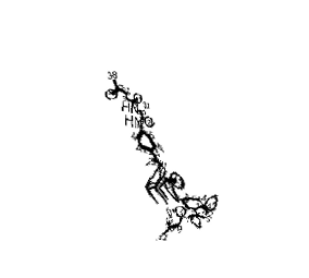 CO[C@H]1[C@H](C2(C)O[C@@H]2CC=C(C)C)[C@]2(CC[C@H]1NC(=O)NCCc1ccc(NC(=O)[C@@H](C)NC(=O)CCC(C)=O)cc1)CO2